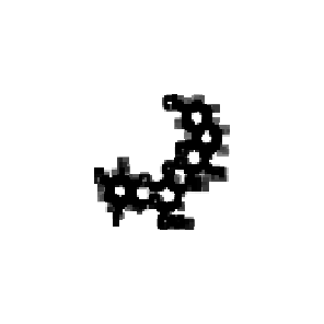 CCC(C(=O)N[C@@H](CC(=O)OC)C(=O)COc1c(F)c(F)cc(F)c1F)n1ccc2ccc(Cl)cc2c1=O